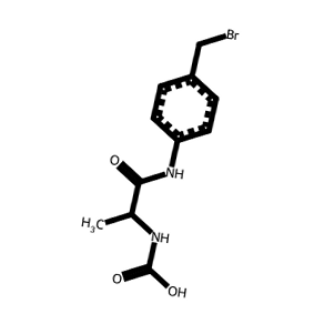 CC(NC(=O)O)C(=O)Nc1ccc(CBr)cc1